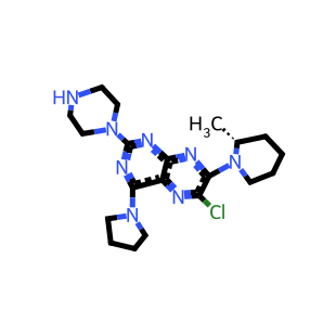 C[C@@H]1CCCCN1c1nc2nc(N3CCNCC3)nc(N3CCCC3)c2nc1Cl